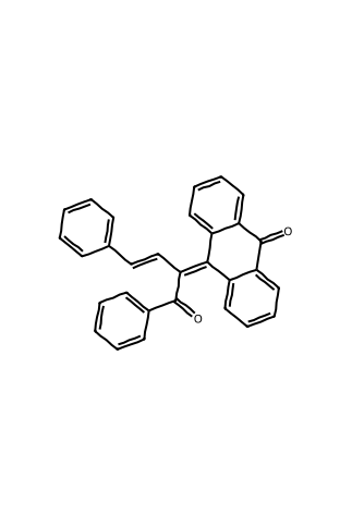 O=C(C(C=Cc1ccccc1)=C1c2ccccc2C(=O)c2ccccc21)c1ccccc1